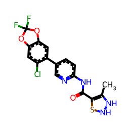 CC1=C(C(=O)Nc2ccc(-c3cc4c(cc3Cl)OC(F)(F)O4)cn2)SNN1